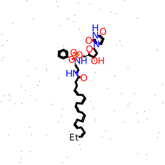 CC/C=C\C/C=C\C/C=C\C/C=C\C/C=C\C/C=C\CCC(=O)NCCNP(=O)(OC[C@H]1O[C@@H](n2ccc(=O)[nH]c2=O)C[C@@H]1O)Oc1ccccc1